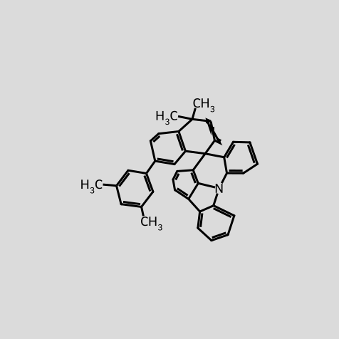 Cc1cc(C)cc(-c2ccc3c(c2)C2(c4ccccc4-n4c5ccccc5c5cccc2c54)c2ccccc2C3(C)C)c1